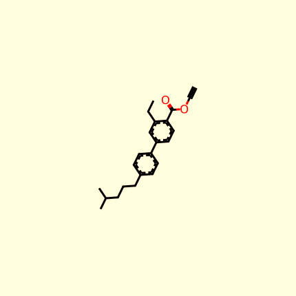 C#COC(=O)c1ccc(-c2ccc(CCCC(C)C)cc2)cc1CC